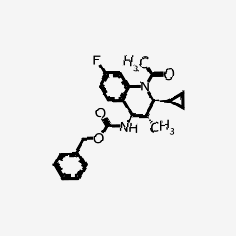 CC(=O)N1c2cc(F)ccc2[C@H](NC(=O)OCc2ccccc2)[C@@H](C)[C@@H]1C1CC1